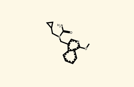 COc1ncc(CN(CC2CC2)C(N)=O)c2ccccc12